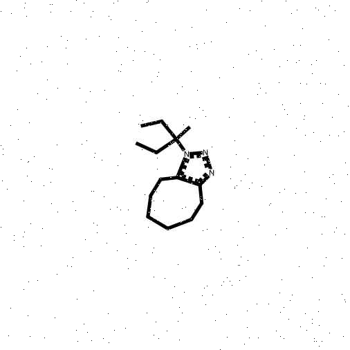 CCC(C)(CC)n1nnc2c1CCCCCC2